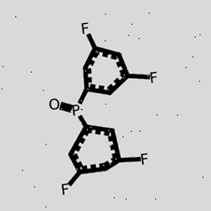 O=[P](c1cc(F)cc(F)c1)c1cc(F)cc(F)c1